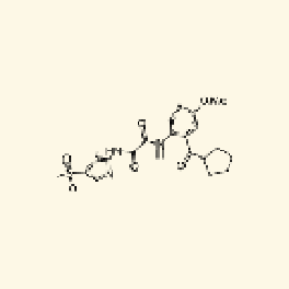 COc1ccc(NC(=O)C(=O)Nc2ncc(S(C)(=O)=O)s2)c(C(=O)C2CCCC2)c1